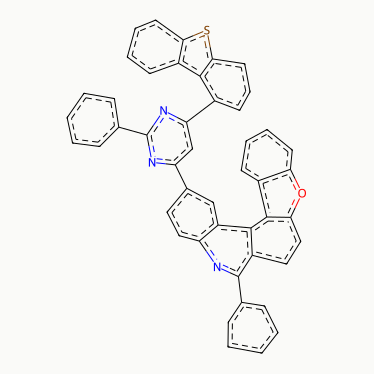 c1ccc(-c2nc(-c3ccc4nc(-c5ccccc5)c5ccc6oc7ccccc7c6c5c4c3)cc(-c3cccc4sc5ccccc5c34)n2)cc1